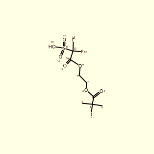 CC(C)(I)C(=O)OCCOC(=O)C(F)(F)S(=O)(=O)O